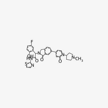 CN1CCC(n2ccc(-c3ccc4c(c3)C(=O)N(C(C(=O)Nc3nccs3)c3cc(F)ccc3O)C4)cc2=O)CC1